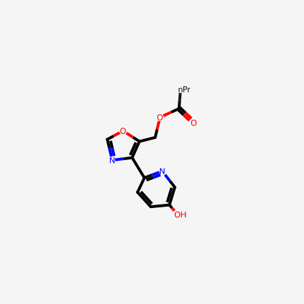 CCCC(=O)OCc1ocnc1-c1ccc(O)cn1